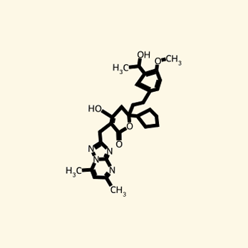 COc1ccc(CCC2(C3CCCC3)CC(O)=C(Cc3nc4nc(C)cc(C)n4n3)C(=O)O2)cc1C(C)O